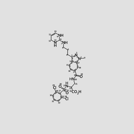 Cn1nc(CCCNC2NC=CCN2)c2ccc(C(=O)NCC(NS(=O)(=O)c3c(Cl)cccc3Cl)C(=O)O)cc21